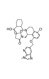 Cn1cnc2cc(COc3ccc(Cl)c4c3[C@@H](CN3CCCC3=O)N(C(=O)C3CCCCC3C(=O)O)CC4)cnc21